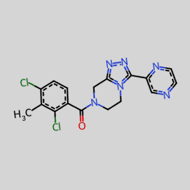 Cc1c(Cl)ccc(C(=O)N2CCn3c(nnc3-c3cnccn3)C2)c1Cl